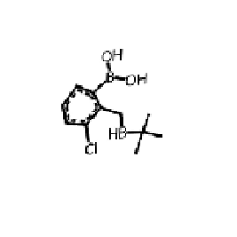 CC(C)(C)BCc1c(Cl)cccc1B(O)O